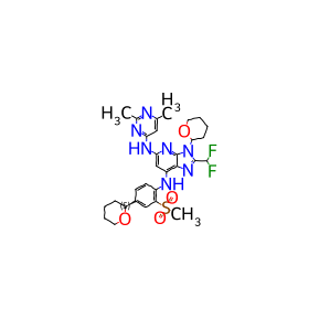 Cc1cc(Nc2cc(Nc3ccc([C@@H]4CCCCO4)cc3S(C)(=O)=O)c3nc(C(F)F)n(C4CCCCO4)c3n2)nc(C)n1